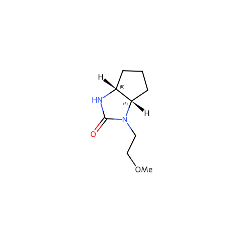 COCCN1C(=O)N[C@@H]2CCC[C@@H]21